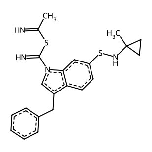 CC(=N)SC(=N)n1cc(Cc2ccccc2)c2ccc(SNC3(C)CC3)cc21